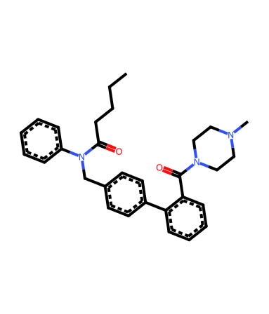 CCCCC(=O)N(Cc1ccc(-c2ccccc2C(=O)N2CCN(C)CC2)cc1)c1ccccc1